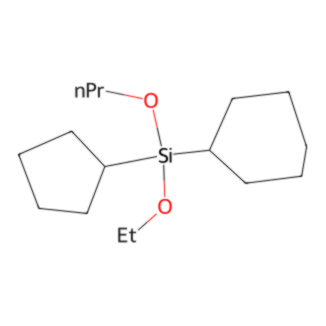 CCCO[Si](OCC)(C1CCCCC1)C1CCCC1